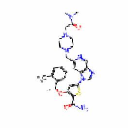 C[C@@H](Oc1cc(-n2cnc3cnc(CN4CCN(CC(=O)N(C)C)CC4)cc32)sc1C(N)=O)c1ccccc1C(F)(F)F